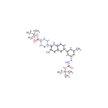 Cc1cc(CNC(=O)OC(C)(C)C)cc(-c2ccc3nc(N4CCN(C(=O)OC(C)(C)C)CC4)c(Cl)cc3c2)c1